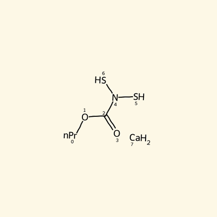 CCCOC(=O)N(S)S.[CaH2]